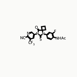 CC(=O)Nc1ccc(N2C(=S)N(c3cnc(C#N)c(C(F)(F)F)c3)C(=O)C23CCC3)cc1F